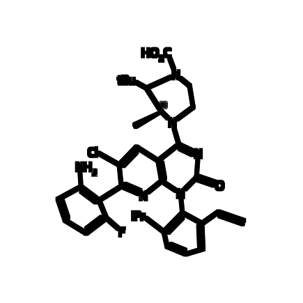 C=Cc1cccc(C(C)C)c1-n1c(=O)nc(N2CCN(C(=O)O)C(C(C)(C)C)[C@@H]2C)c2cc(Cl)c(-c3c(N)cccc3F)nc21